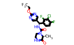 C[C@@H]1C(=O)NCCN1C(=O)N[C@H](c1cnc(OCC(F)(F)F)nc1)c1ccc(F)c(Cl)c1F